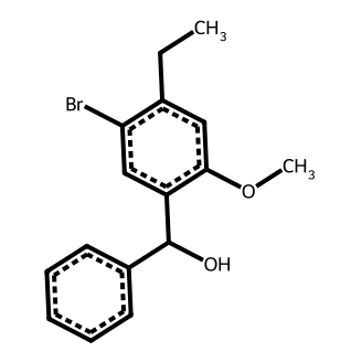 CCc1cc(OC)c(C(O)c2ccccc2)cc1Br